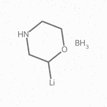 B.[Li][CH]1CNCCO1